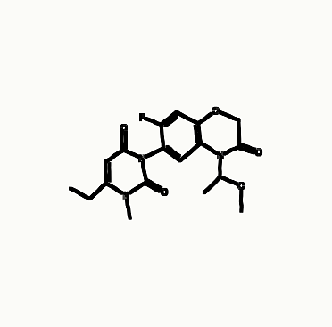 CCc1cc(=O)n(-c2cc3c(cc2F)OCC(=O)N3C(C)OC)c(=O)n1C